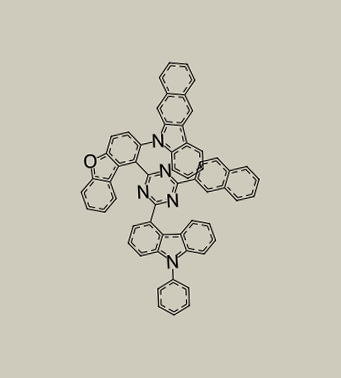 c1ccc(-n2c3ccccc3c3c(-c4nc(-c5ccc6ccccc6c5)nc(-c5c(-n6c7ccccc7c7cc8ccccc8cc76)ccc6oc7ccccc7c56)n4)cccc32)cc1